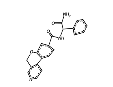 NC(=O)C(NC(=O)c1ccc2c(c1)OCc1cnccc1-2)c1ccccc1